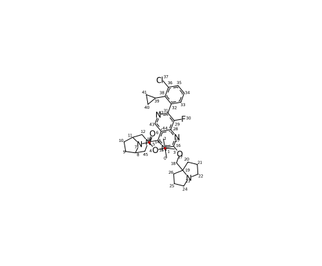 CC(C)(C)OC(=O)N1C2CCC1CN(c1nc(OCC34CCCN3CCC4)nc3c(F)c(-c4cccc(Cl)c4C4CC4)ncc13)C2